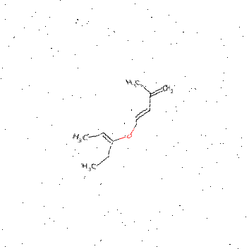 C=C(C)C=COC(=CC)CC